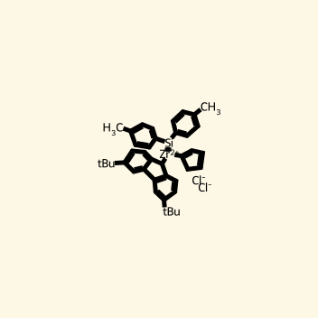 Cc1ccc([Si](c2ccc(C)cc2)=[Zr+2]([C]2=CC=CC2)[CH]2c3ccc(C(C)(C)C)cc3-c3cc(C(C)(C)C)ccc32)cc1.[Cl-].[Cl-]